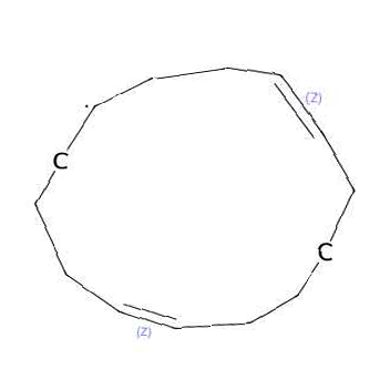 [CH]1CC/C=C\CCCC/C=C\CCC1